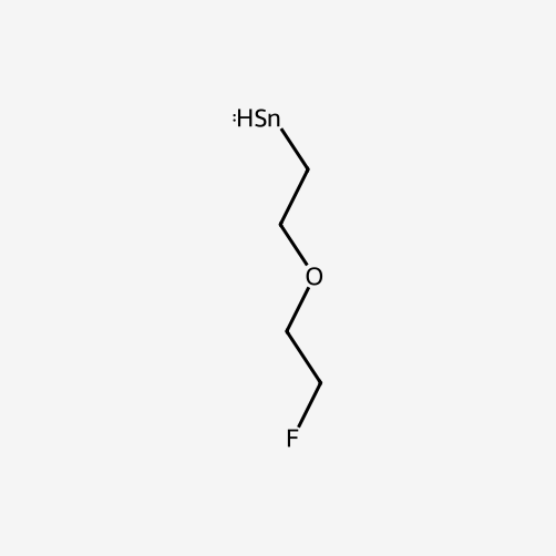 FCCOC[CH2][SnH]